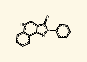 O=c1c2c[nH]c3ccccc3c-2nn1-c1ccccc1